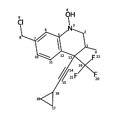 CC1CN(O)c2cc(CCl)ccc2C1(C#CC1CC1)C(F)(F)F